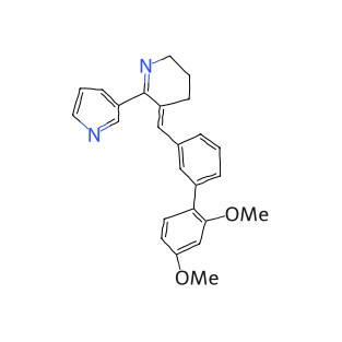 COc1ccc(-c2cccc(C=C3CCCN=C3c3cccnc3)c2)c(OC)c1